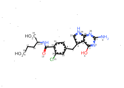 Nc1nc(O)c2c(Cc3ccc(C(=O)N[C@@H](CCC(=O)O)C(=O)O)c(Cl)c3)c[nH]c2n1